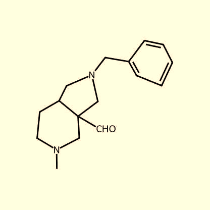 CN1CCC2CN(Cc3ccccc3)CC2(C=O)C1